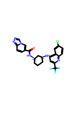 O=C(N[C@@H]1CCC[C@H](Nc2cc(C(F)(F)F)nc3ccc(Cl)cc23)C1)c1ccc2nncn2c1